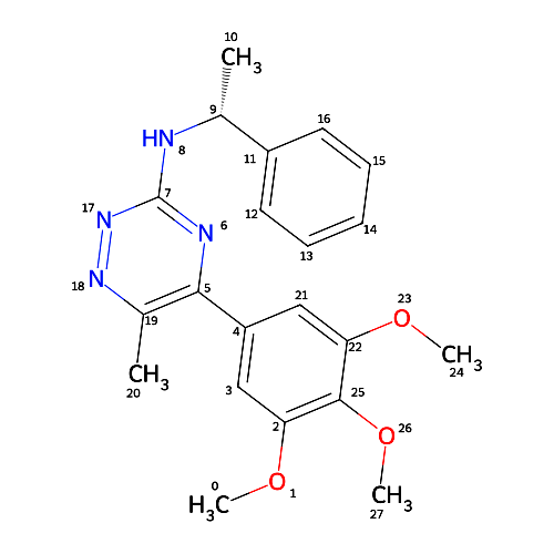 COc1cc(-c2nc(N[C@H](C)c3ccccc3)nnc2C)cc(OC)c1OC